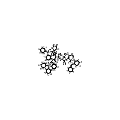 O=C(OC(c1ccccc1)c1ccccc1)C1=C(CI)CS[C@H]2C(NC(=O)/C(=N\OC3(C(=O)OC(c4ccccc4)c4ccccc4)CCCC3)c3csc(NC(c4ccccc4)(c4ccccc4)c4ccccc4)n3)C(=O)N12